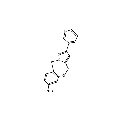 CC(=O)Nc1ccc2c(c1)OCc1cc(-c3cccnc3)nn1C2